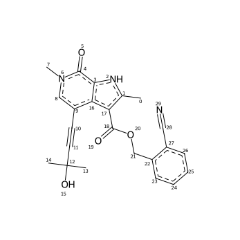 Cc1[nH]c2c(=O)n(C)cc(C#CC(C)(C)O)c2c1C(=O)OCc1ccccc1C#N